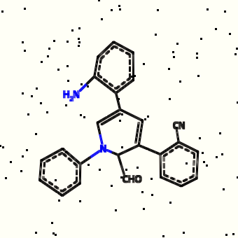 N#Cc1ccccc1C1=CC(c2ccccc2N)=CN(c2ccccc2)C1C=O